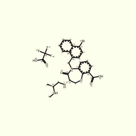 CN[C@@H](C)CN[C@H]1COc2c(C(=O)O)cccc2N(Cc2ccc(Br)c3ccccc23)C1=O.O=C(O)C(F)(F)F